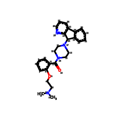 CN(C)CCOc1ccccc1C(=O)N1CCN(C2c3ccccc3-c3cccnc32)CC1